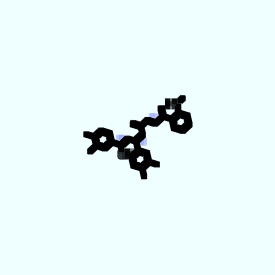 C=C(/C=C/C(=C)c1ccccc1NC)/C=C(\C=C(/O)c1ccc(C)c(C)c1)c1ccc(C)c(C)c1